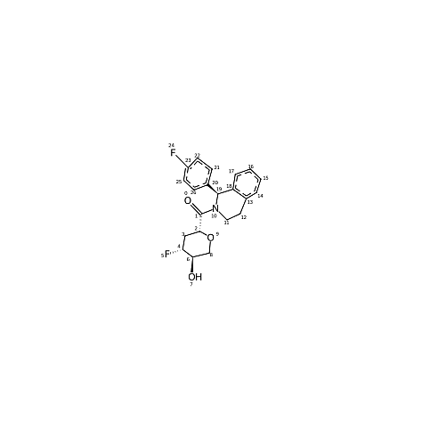 O=C([C@H]1C[C@@H](F)[C@H](O)CO1)N1CCc2ccccc2[C@@H]1c1ccc(F)cc1